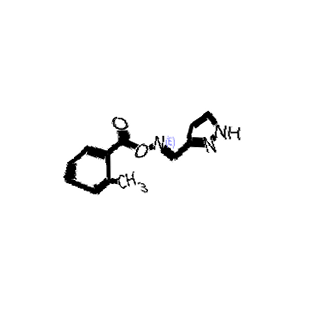 Cc1ccccc1C(=O)O/N=C/c1cc[nH]n1